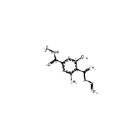 C=CCC(=C)c1c(C)cc(C(=O)NN)cc1C